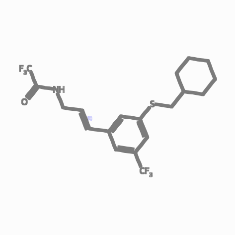 O=C(NC/C=C/c1cc(SCC2CCCCC2)cc(C(F)(F)F)c1)C(F)(F)F